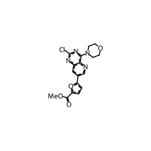 COC(=O)c1ccc(-c2cnc3c(N4CCOCC4)nc(Cl)nc3c2)o1